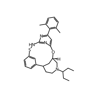 CCC(CC)N1CCC2C[C@@H](C1)Oc1cc(-c3c(C)cccc3C)nc(n1)NSc1cccc2c1